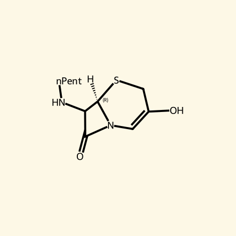 CCCCCNC1C(=O)N2C=C(O)CS[C@H]12